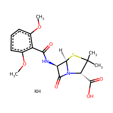 COc1cccc(OC)c1C(=O)N[C@@H]1C(=O)N2[C@@H]1SC(C)(C)[C@@H]2C(=O)O.[KH]